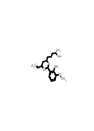 CCC1CC(CCC[C@H](C)O)OC(c2cccc(OC)c2O)O1